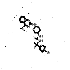 CN(C)c1nc(NC2CCC(NC(=O)NC(C)(I)c3ccc(Br)cc3)CC2)nc2ccccc12